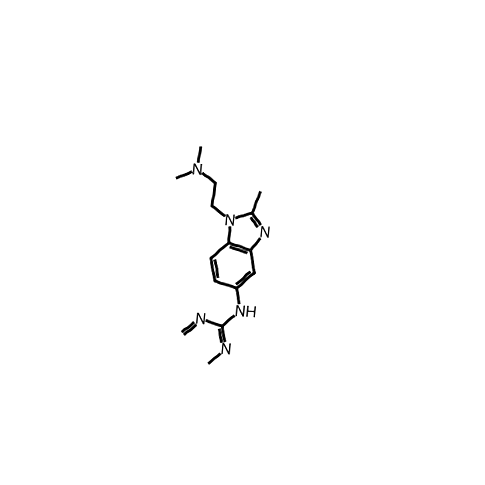 C=N/C(=N\C)Nc1ccc2c(c1)nc(C)n2CCN(C)C